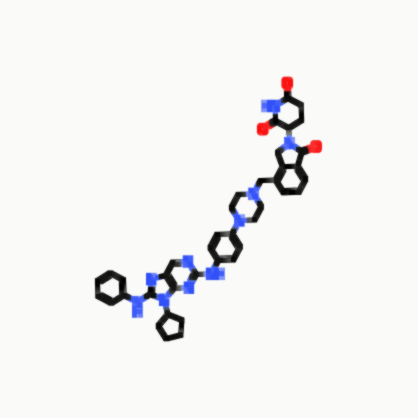 O=C1CCC(N2Cc3c(CN4CCN(c5ccc(Nc6ncc7nc(Nc8ccccc8)n(C8CCCC8)c7n6)cc5)CC4)cccc3C2=O)C(=O)N1